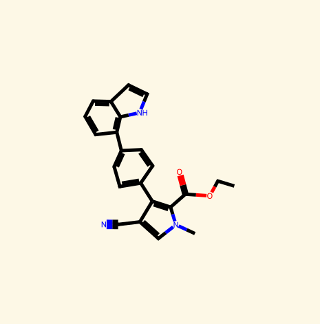 CCOC(=O)c1c(-c2ccc(-c3cccc4cc[nH]c34)cc2)c(C#N)cn1C